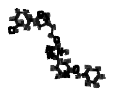 Cn1c(OCCc2cc(-c3cccc(Cl)c3)on2)nnc1-c1ccnc(OCc2ccccc2)c1